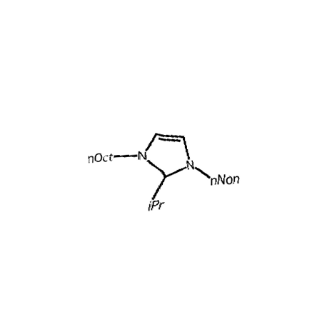 CCCCCCCCCN1C=CN(CCCCCCCC)C1C(C)C